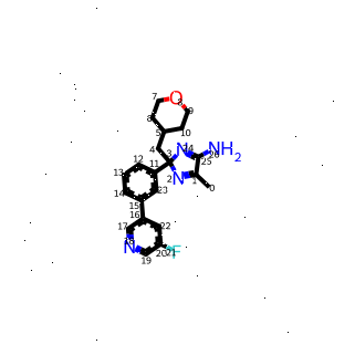 CC1=NC(CC2CCOCC2)(c2cccc(-c3cncc(F)c3)c2)N=C1N